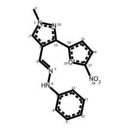 Cn1cc(C=NNc2ccccc2)c(-c2ccc([N+](=O)[O-])o2)n1